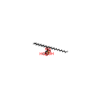 CCCCCCCCCCCCCC(CCCCCCCCCCCC)OC(=O)C(CC(=O)O)S(=O)(=O)O